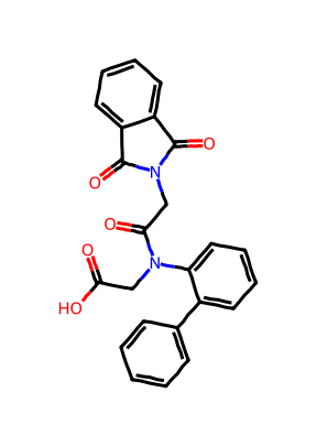 O=C(O)CN(C(=O)CN1C(=O)c2ccccc2C1=O)c1ccccc1-c1ccccc1